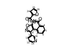 NC(=O)c1ccccc1-c1c(-c2cccnc2)noc1NC(=O)c1ccco1